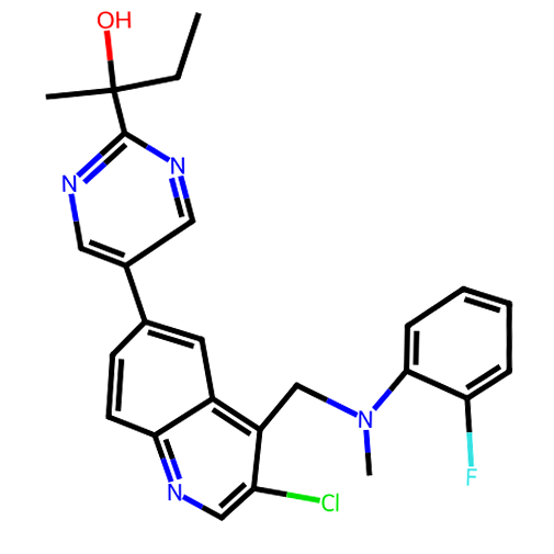 CCC(C)(O)c1ncc(-c2ccc3ncc(Cl)c(CN(C)c4ccccc4F)c3c2)cn1